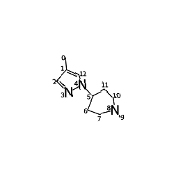 Cc1cnn(C2CCN(C)CC2)c1